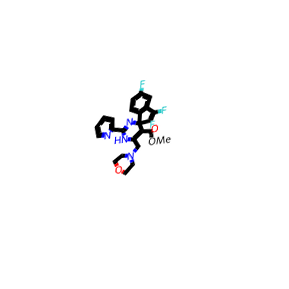 COC(=O)C1=C(CN2CCOCC2)NC(c2ccccn2)=NC12C(F)=C(F)c1cc(F)ccc12